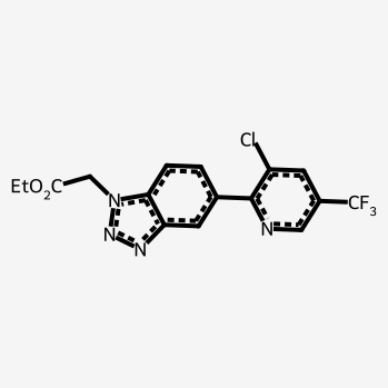 CCOC(=O)Cn1nnc2cc(-c3ncc(C(F)(F)F)cc3Cl)ccc21